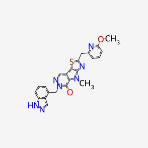 COc1cccc(Cc2nc3c(s2)c2cnn(Cc4cccc5[nH]ncc45)c(=O)c2n3C)n1